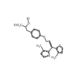 CCOC(=O)C(Cc1ccc(OCC=C(c2sccc2C)c2sccc2C)cc1)OCC